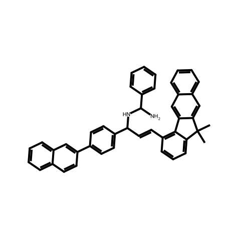 CC1(C)c2cc3ccccc3cc2-c2c(/C=C/C(NC(N)c3ccccc3)c3ccc(-c4ccc5ccccc5c4)cc3)cccc21